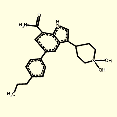 CCCc1ccc(-c2cc(C(N)=O)c3[nH]cc(C4CCS(O)(O)CC4)c3c2)cc1